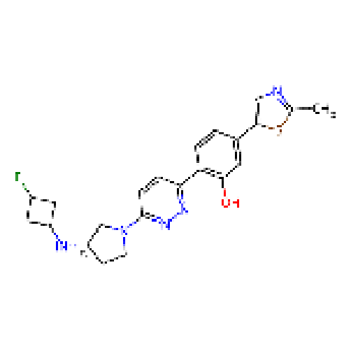 Cc1ncc(-c2ccc(-c3ccc(N4CC[C@H](NC5CC(F)C5)C4)nn3)c(O)c2)s1